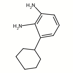 Nc1cccc(C2CCCCC2)c1N